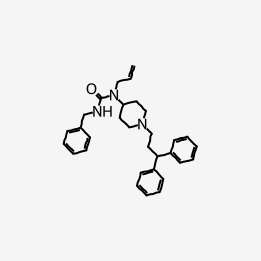 C=CCN(C(=O)NCc1ccccc1)C1CCN(CCC(c2ccccc2)c2ccccc2)CC1